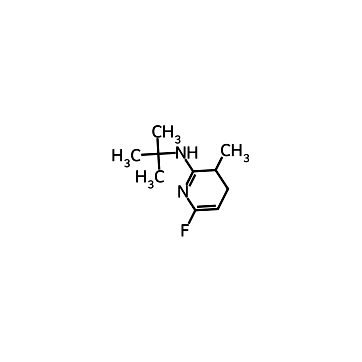 CC1CC=C(F)N=C1NC(C)(C)C